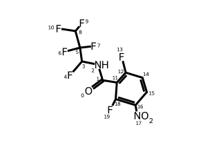 O=C(NC(F)C(F)(F)C(F)F)c1c(F)ccc([N+](=O)[O-])c1F